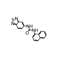 O=C(Nc1ccc2nsnc2c1)Nc1cccc2ccccc12